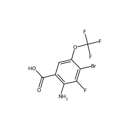 Nc1c(C(=O)O)cc(OC(F)(F)F)c(Br)c1F